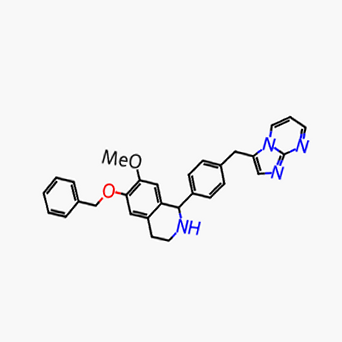 COc1cc2c(cc1OCc1ccccc1)CCNC2c1ccc(Cc2cnc3ncccn23)cc1